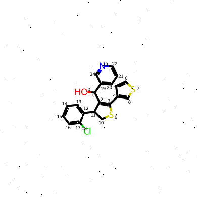 OC(C1=C(c2ccsc2)SCC1c1ccccc1Cl)c1cccnc1